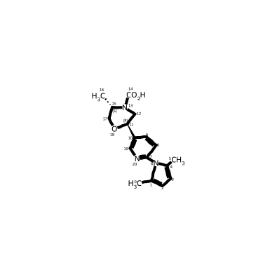 Cc1ccc(C)n1-c1ccc([C@@H]2CN(C(=O)O)[C@@H](C)CO2)cn1